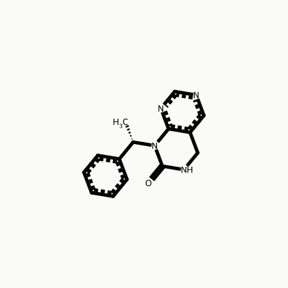 C[C@@H](c1ccccc1)N1C(=O)NCc2cncnc21